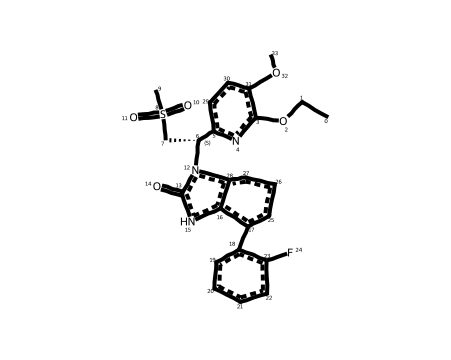 CCOc1nc([C@@H](CS(C)(=O)=O)n2c(=O)[nH]c3c(-c4ccccc4F)cccc32)ccc1OC